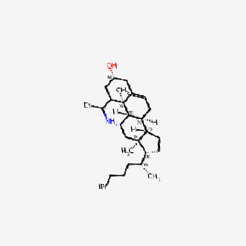 CC[C](N)C1C[C@H](O)CC2=CC[C@H]3[C@@H]4CC[C@H]([C@H](C)CCCC(C)C)[C@@]4(C)CC[C@@H]3[C@]21C